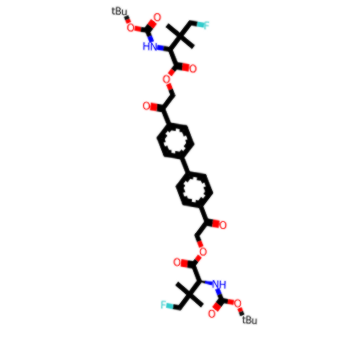 CC(C)(C)OC(=O)NC(C(=O)OCC(=O)c1ccc(-c2ccc(C(=O)COC(=O)[C@@H](NC(=O)OC(C)(C)C)C(C)(C)CF)cc2)cc1)C(C)(C)CF